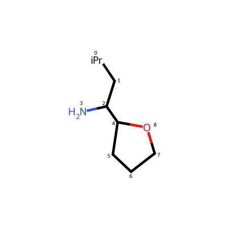 CC(C)CC(N)C1CCCO1